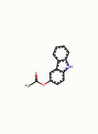 BC(=O)Oc1ccc2[nH]c3ccccc3c2c1